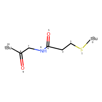 CC(C)(C)SCCC(=O)NCC(=O)C(C)(C)C